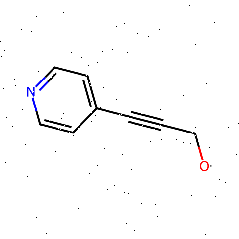 [O]CC#Cc1ccncc1